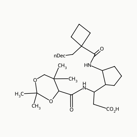 CCCCCCCCCCCC1(C(=O)NC2CCCC2C(CC(=O)O)NC(=O)C2OC(C)(C)OCC2(C)C)CCC1